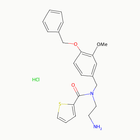 COc1cc(CN(CCN)C(=O)c2cccs2)ccc1OCc1ccccc1.Cl